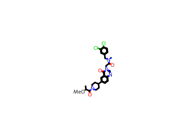 COC(C)C(=O)N1CCC(c2ccc3ncn(CC(=O)N(C)Cc4ccc(Cl)c(Cl)c4)c(=O)c3c2)CC1